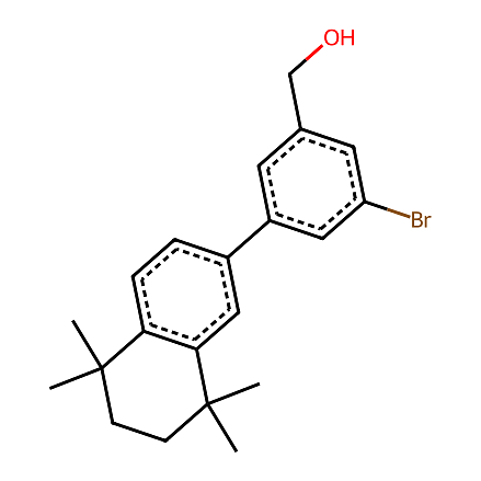 CC1(C)CCC(C)(C)c2cc(-c3cc(Br)cc(CO)c3)ccc21